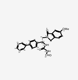 COc1ccc2c(c1)C(=O)N(C[C@H](NC(=O)NC=O)c1ccc(-c3cncnc3)cc1)C2